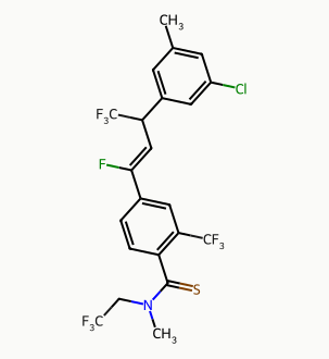 Cc1cc(Cl)cc(C(/C=C(\F)c2ccc(C(=S)N(C)CC(F)(F)F)c(C(F)(F)F)c2)C(F)(F)F)c1